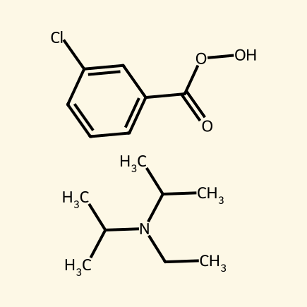 CCN(C(C)C)C(C)C.O=C(OO)c1cccc(Cl)c1